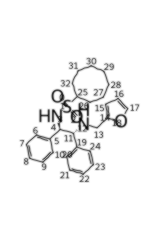 O=S(=O)(N[C@H](c1ccccc1)[C@H](NCc1ccco1)c1ccccc1)C1CCCCCCC1